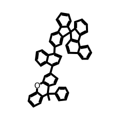 CC1(c2ccccc2)c2ccccc2Oc2cc(-c3ccc(-c4ccc5c(c4)C4(c6ccccc6-5)c5ccccc5-c5c4ccc4ccccc54)c4ccccc34)ccc21